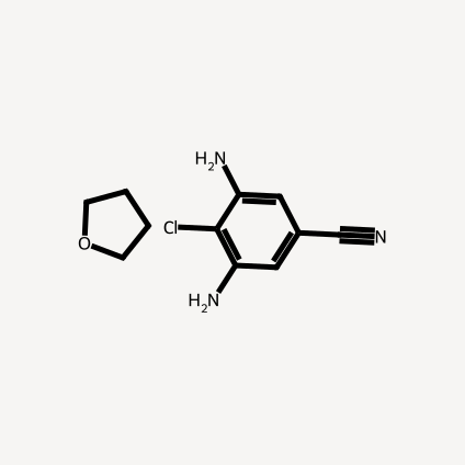 C1CCOC1.N#Cc1cc(N)c(Cl)c(N)c1